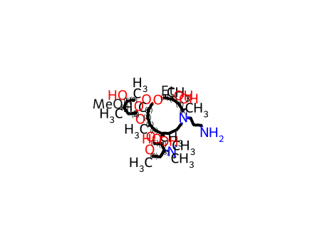 CC[C@H]1OC(=O)[C@H](C)[C@@H](O[C@H]2C[C@@](C)(OC)[C@@H](O)[C@H](C)O2)[C@H](C)[C@@H](O[C@@H]2O[C@H](C)C[C@H](N(C)C)[C@H]2O)C(C)(O)CCCN(CCCN)[C@H](C)[C@@H](O)[C@]1(C)O